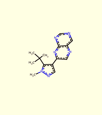 Cn1ncc(-c2cnc3cncnc3n2)c1C(C)(C)C